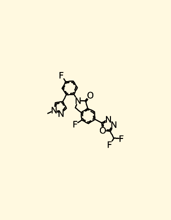 Cn1cc(-c2cc(F)ccc2N2Cc3c(F)cc(-c4nnc(C(F)F)o4)cc3C2=O)cn1